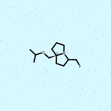 CC(C)OC[C@@]12CCCN1C(CF)CC2